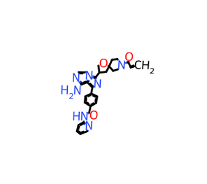 C=CC(=O)N1CCC2(CC1)CC(c1nc(-c3ccc(C(=O)Nc4ccccn4)cc3)c3c(N)nccn13)CO2